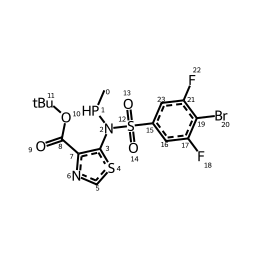 CPN(c1scnc1C(=O)OC(C)(C)C)S(=O)(=O)c1cc(F)c(Br)c(F)c1